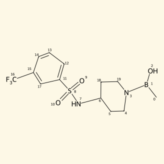 CB(O)N1CCC(NS(=O)(=O)c2cccc(C(F)(F)F)c2)CC1